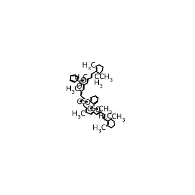 CC(=CCS(=O)(=O)CC=C(C)C=C(C=C(C)C=CC1=C(C)CCCC1(C)C)S(=O)(=O)c1ccccc1)C=C(C=C(C)C=CC1=C(C)CCCC1(C)C)S(=O)(=O)c1ccccc1